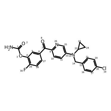 NC(=O)Oc1cc(C(=O)c2ccc(N(Cc3ccc(Cl)cc3)C3CC3)cn2)ccc1F